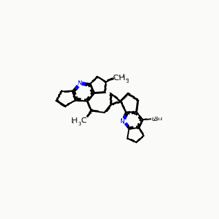 CC1Cc2nc3c(c(C(C)CC4CC45CCc4c5nc5c(c4C(C)(C)C)CCC5)c2C1)CCC3